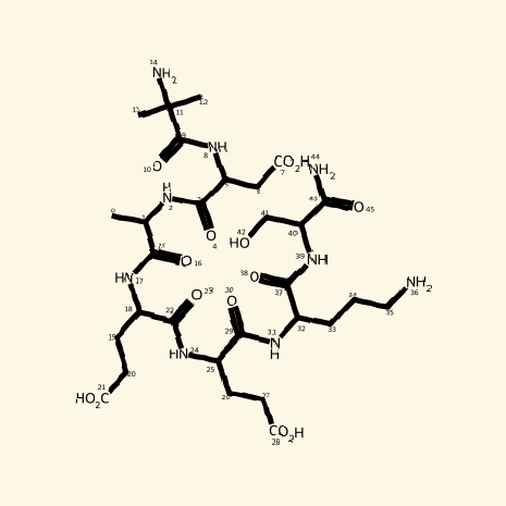 CC(NC(=O)C(CC(=O)O)NC(=O)C(C)(C)N)C(=O)NC(CCC(=O)O)C(=O)NC(CCC(=O)O)C(=O)NC(CCCN)C(=O)NC(CO)C(N)=O